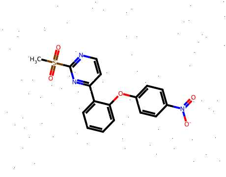 CS(=O)(=O)c1nccc(-c2ccccc2Oc2ccc([N+](=O)[O-])cc2)n1